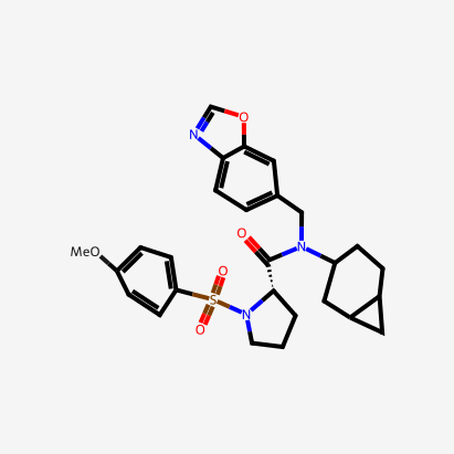 COc1ccc(S(=O)(=O)N2CCC[C@H]2C(=O)N(Cc2ccc3ncoc3c2)C2CCC3CC3C2)cc1